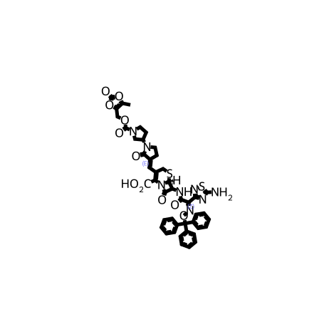 Cc1oc(=O)oc1COC(=O)N1CCC(N2CC/C(=C\C3=C(C(=O)O)N4C(=O)C(NC(=O)/C(=N\OC(c5ccccc5)(c5ccccc5)c5ccccc5)c5nsc(N)n5)[C@H]4SC3)C2=O)C1